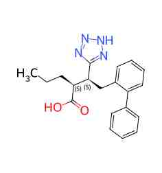 CCC[C@H](C(=O)O)[C@H](Cc1ccccc1-c1ccccc1)c1nn[nH]n1